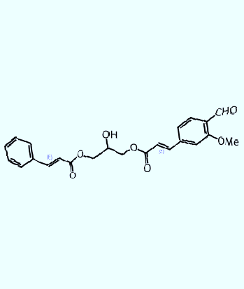 COc1cc(/C=C/C(=O)OCC(O)COC(=O)/C=C/c2ccccc2)ccc1C=O